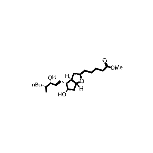 CCCC[C@@H](C)[C@H](O)/C=C/[C@@H]1[C@H]2CC(CCCCC(=O)OC)O[C@@H]2C[C@H]1O